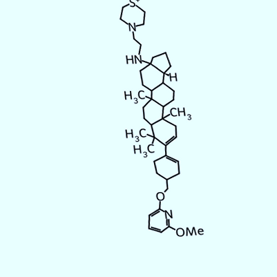 COc1cccc(OCC2CC=C(C3=CCC4(C)C(CCC5(C)C6CCC7(NCCN8CC[S+]([O-])CC8)CCC[C@@H]7C6CCC54)C3(C)C)CC2)n1